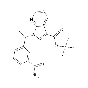 Cc1c(C(=O)OC(C)(C)C)c2cccnc2n1C(C)c1cccc(C(N)=O)c1